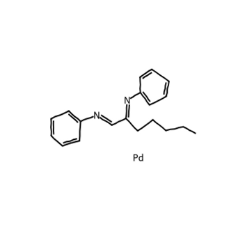 CCCCCC(C=Nc1ccccc1)=Nc1ccccc1.[Pd]